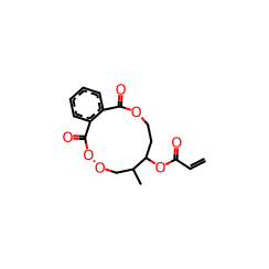 C=CC(=O)OC1CCOC(=O)c2ccccc2C(=O)OOCC1C